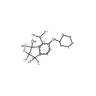 OC1(O)c2c(ccc(OC3CCCCC3)c2C(F)F)C(F)(F)C1(F)F